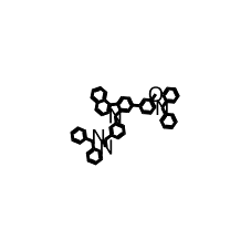 c1ccc(-c2nc(-c3cccc(-n4c5cc(-c6ccc7c(c6)Oc6ccccc6N7c6ccccc6)ccc5c5c6ccccc6ccc54)c3)nc3ccccc23)cc1